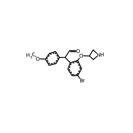 COc1ccc(C(C=O)c2ccc(Br)cc2OC2CNC2)cc1